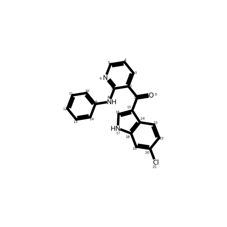 O=C(c1cccnc1Nc1ccccc1)c1c[nH]c2cc(Cl)ccc12